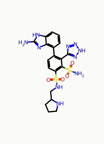 Nc1nc2c(-c3ccc(S(=O)(=O)NCC4CCCN4)c(S(N)(=O)=O)c3-c3nn[nH]n3)cccc2[nH]1